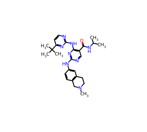 CC(C)NC(=O)c1cnc(Nc2ccc3c(c2)CCN(C)C3)nc1Nc1nccc(C(C)(C)C)n1